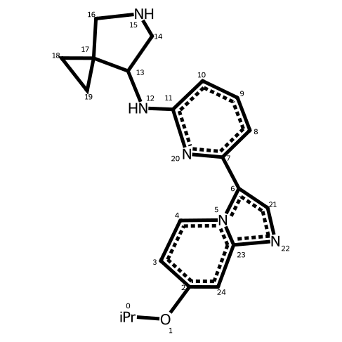 CC(C)Oc1ccn2c(-c3cccc(NC4CNCC45CC5)n3)cnc2c1